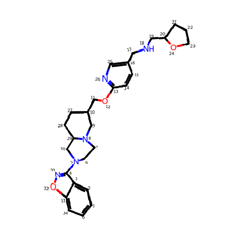 c1ccc2c(N3CCN4CC(COc5ccc(CNCC6CCCO6)cn5)CCC4C3)noc2c1